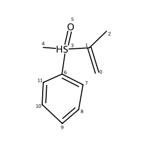 C=C(C)[SH](C)(=O)c1ccccc1